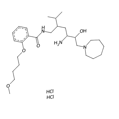 COCCCCOc1ccccc1C(=O)NCC(CC(N)C(O)CN1CCCCCC1)C(C)C.Cl.Cl